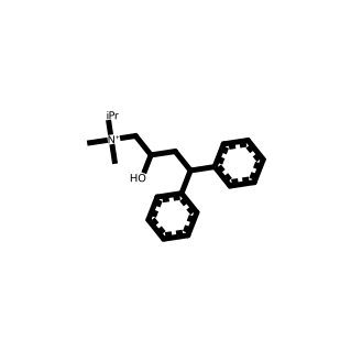 CC(C)[N+](C)(C)CC(O)CC(c1ccccc1)c1ccccc1